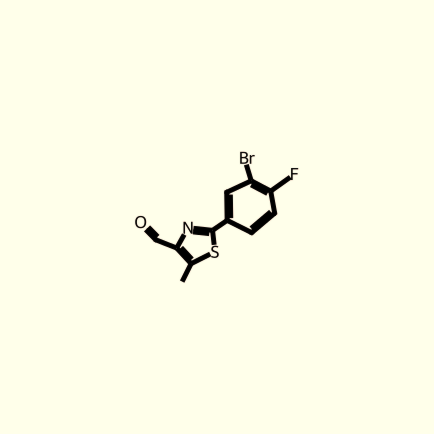 Cc1sc(-c2ccc(F)c(Br)c2)nc1C=O